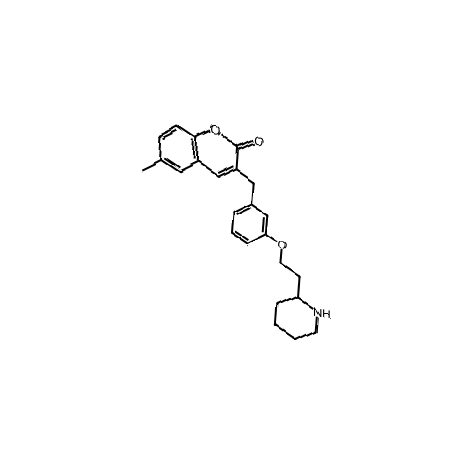 Cc1ccc2oc(=O)c(Cc3cc[c]c(OCCC4CCCCN4)c3)cc2c1